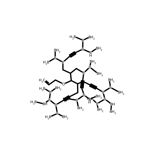 BBB(C#CB(CC(CB(C#CB(BB)B(B)B)B(B)B)C(OCC=C)C(CC#CB(B(B)B)B(BB)B(B)B)CC#CB(B(B)B)B(BB)B(B)B)B(B)B)B(B)B